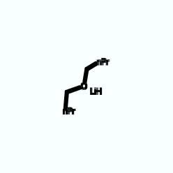 CCCCOCCCC.[LiH]